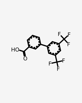 O=C(O)c1cccc(-c2cc(C(F)(F)F)cc(C(F)(F)F)c2)c1